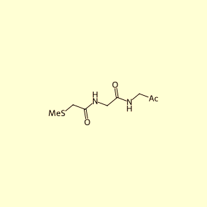 CSCC(=O)NCC(=O)NCC(C)=O